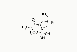 C=C(C)C(=O)OCC(CC)(CO)COP(=O)(O)O